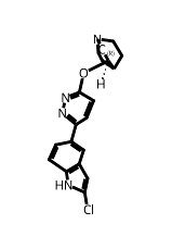 Clc1cc2cc(-c3ccc(O[C@H]4CN5CCC4CC5)nn3)ccc2[nH]1